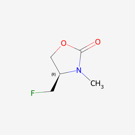 CN1C(=O)OC[C@@H]1CF